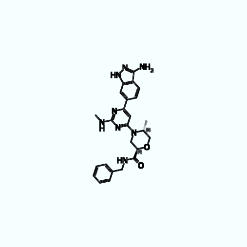 CNc1nc(-c2ccc3c(N)n[nH]c3c2)cc(N2C[C@H](C(=O)NCc3ccccc3)OC[C@H]2C)n1